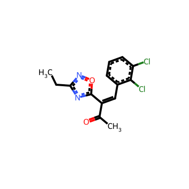 CCc1noc(/C(=C\c2cccc(Cl)c2Cl)C(C)=O)n1